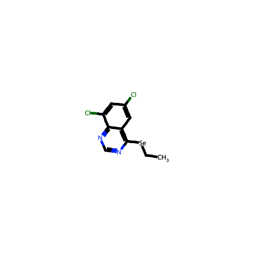 CC[Se]c1ncnc2c(Cl)cc(Cl)cc12